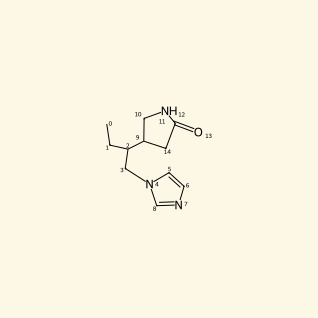 CCC(Cn1ccnc1)C1CNC(=O)C1